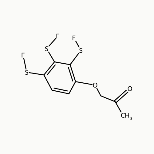 CC(=O)COc1ccc(SF)c(SF)c1SF